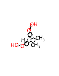 CC1CC(C)C(c2ccc(OCCO)cc2)C(C)(c2ccc(OCCO)cc2)C1